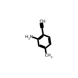 C#Cc1ccc(C)cc1N